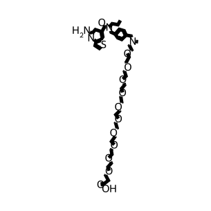 CCCN(Cc1ccc(CN(C)CCOCCOCCOCCOCCOCCOCCOCCOCCOCCOCCC(=O)O)cc1)C(=O)C1=Cc2sccc2N=C(N)C1